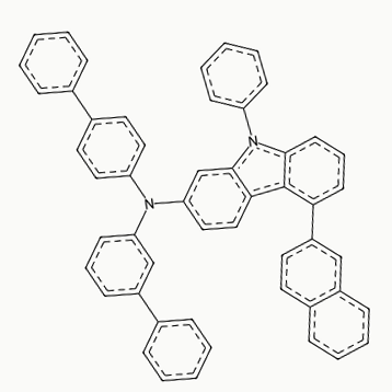 c1ccc(-c2ccc(N(c3cccc(-c4ccccc4)c3)c3ccc4c5c(-c6ccc7ccccc7c6)cccc5n(-c5ccccc5)c4c3)cc2)cc1